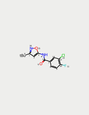 CC(C)(C)c1cc(NC(=O)c2ccc(F)c(Cl)c2)on1